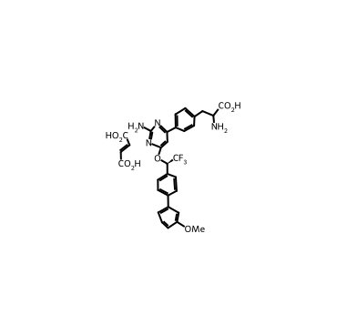 COc1cccc(-c2ccc([C@@H](Oc3cc(-c4ccc(CC(N)C(=O)O)cc4)nc(N)n3)C(F)(F)F)cc2)c1.O=C(O)C=CC(=O)O